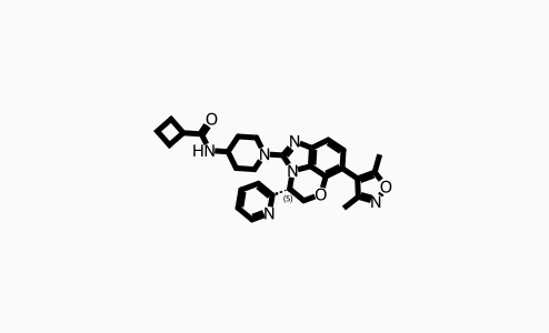 Cc1noc(C)c1-c1ccc2nc(N3CCC(NC(=O)C4CCC4)CC3)n3c2c1OC[C@@H]3c1ccccn1